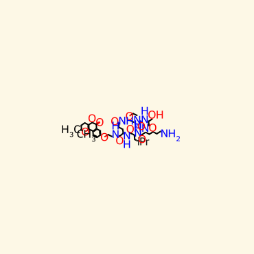 CC(C)CC(NC(=O)C(CCCCN)NC(=O)C(CO)NC(=O)N1CCOCC1)C(=O)NC(CCC(N)=O)C(=O)NCCOc1ccc2c(c1)C(=O)C(=O)C1=C2OC(C)(C)CC1